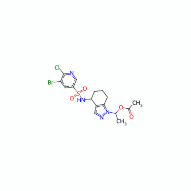 CC(=O)OC(C)n1ncc2c1CCCC2NS(=O)(=O)c1cnc(Cl)c(Br)c1